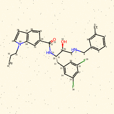 CCc1cccc(CNC[C@H](O)[C@H](Cc2cc(F)cc(F)c2)NC(=O)c2ccc3ccn(CCC(C)C)c3c2)c1